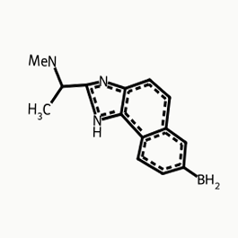 Bc1ccc2c(ccc3nc(C(C)NC)[nH]c32)c1